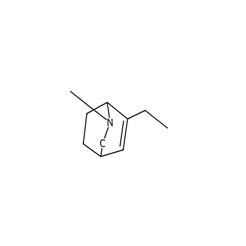 CCC1=CC2CCC1N(C)C2